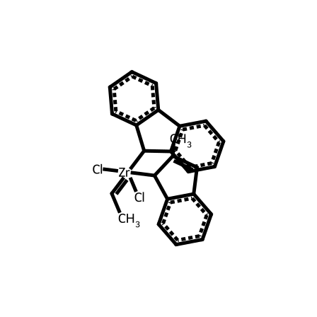 C[CH]=[Zr]([Cl])([Cl])([CH]1C(C)=Cc2ccccc21)[CH]1c2ccccc2-c2ccccc21